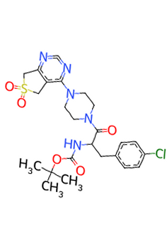 CC(C)(C)OC(=O)NC(Cc1ccc(Cl)cc1)C(=O)N1CCN(c2ncnc3c2CS(=O)(=O)C3)CC1